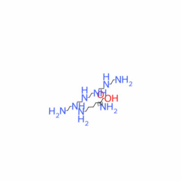 NCCCC[C@H](N)C(=O)O.NCCNCCNCCNCCNCCN